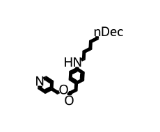 CCCCCCCCCCCCCCCNc1ccc(CC(=O)OCc2ccncc2)cc1